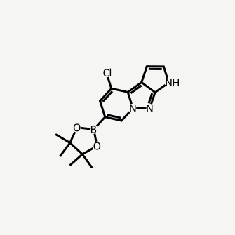 CC1(C)OB(c2cc(Cl)c3c4cc[nH]c4nn3c2)OC1(C)C